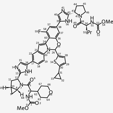 COC(=O)NC(C(=O)N1[C@@H]2C[C@@H]2C[C@H]1c1ncc(-c2ccc3c(c2)cc2n3C(c3ccc(C4CC4)s3)Oc3cc(-c4cnc([C@@H]5CCCN5C(=O)[C@@H](NC(=O)OC)C(C)C)[nH]4)cc(F)c3-2)[nH]1)C1CCOCC1